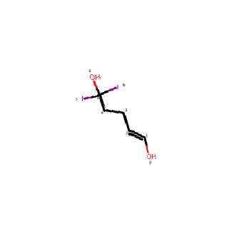 OC=CCCC(O)(I)I